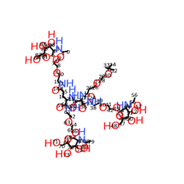 CC(=O)NC1C(OCCOCCNC(=O)CCC(NC(=O)C(NC(=O)CCOCCOC(C)(C)C)C(=O)NCCOCCOC2OC(CO)C(O)C(O)C2NC(C)=O)C(=O)NCCOCCOC2OC(CO)C(O)C(O)C2NC(C)=O)OC(CO)C(O)C1O